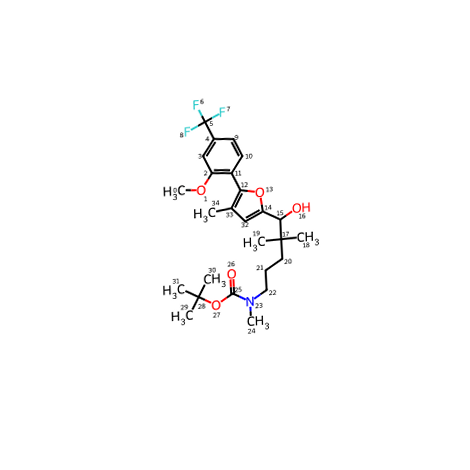 COc1cc(C(F)(F)F)ccc1-c1oc(C(O)C(C)(C)CCCN(C)C(=O)OC(C)(C)C)cc1C